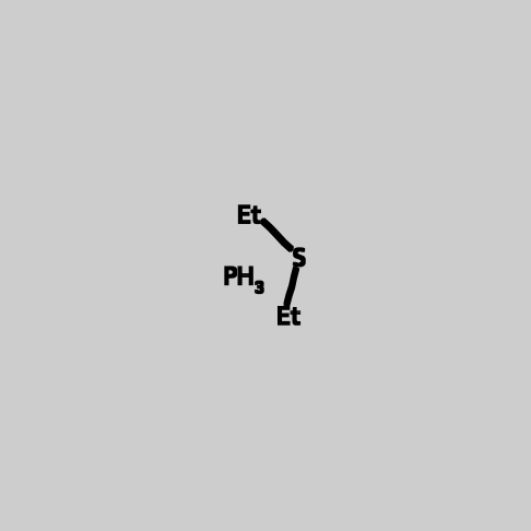 CCSCC.P